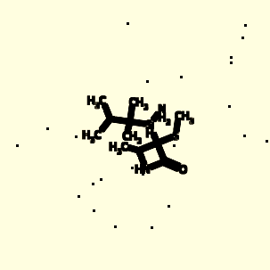 CSC1([SiH](N)C(C)(C)C(C)C)C(=O)NC1C